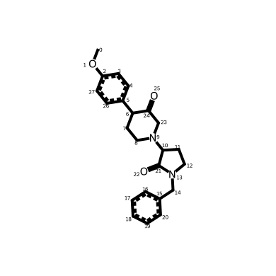 COc1ccc(C2CCN(C3CCN(Cc4ccccc4)C3=O)CC2=O)cc1